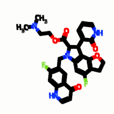 CN(C)CCOC(=O)C1C(c2ccc[nH]c2=O)c2c(cc(F)c3c2OCC3)N1Cc1cc2c(=O)cc[nH]c2cc1F